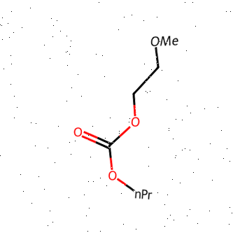 CCCOC(=O)OCCOC